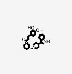 O=C(/C=C/c1ccc(O)c(O)c1)N1CCC[C@@H](CN2CCC(c3c[nH]c4ccccc34)CC2)C1